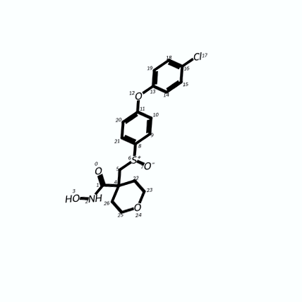 O=C(NO)C1(C[S+]([O-])c2ccc(Oc3ccc(Cl)cc3)cc2)CCOCC1